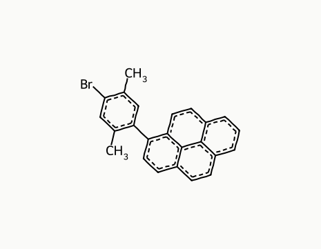 Cc1cc(-c2ccc3ccc4cccc5ccc2c3c45)c(C)cc1Br